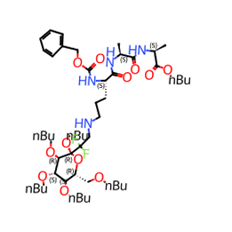 CCCCOC[C@H]1O[C@@](OCCCC)(C(F)(F)CNCCC[C@H](NC(=O)OCc2ccccc2)C(=O)N[C@@H](C)C(=O)N[C@@H](C)C(=O)OCCCC)[C@H](OCCCC)[C@@H](OCCCC)[C@H]1OCCCC